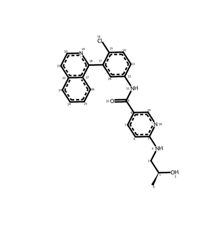 C[C@H](O)CNc1ccc(C(=O)Nc2ccc(Cl)c(-c3nccc4ccccc34)c2)cn1